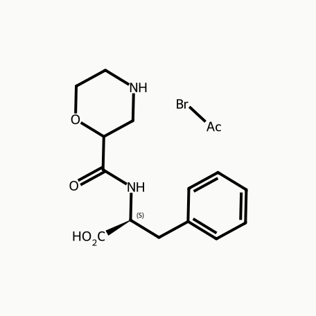 CC(=O)Br.O=C(N[C@@H](Cc1ccccc1)C(=O)O)C1CNCCO1